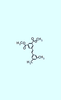 COC(=O)c1cc(/C=C/c2cc(C)cc(C)c2)cc(C(=O)OC)c1